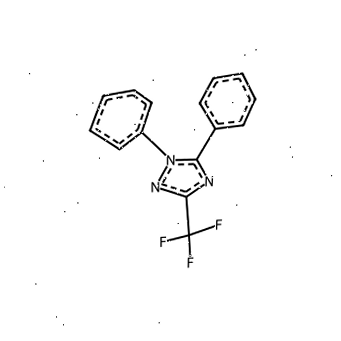 FC(F)(F)c1nc(-c2ccccc2)n(-c2ccccc2)n1